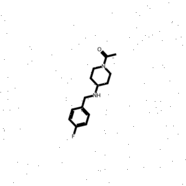 CC(=O)N1CCC(NCc2ccc(F)cc2)CC1